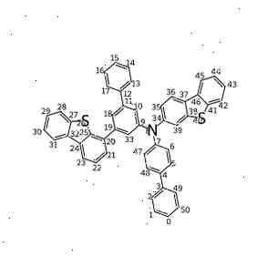 c1ccc(-c2ccc(N(c3cc(-c4ccccc4)cc(-c4cccc5c4sc4ccccc45)c3)c3ccc4c(c3)sc3ccccc34)cc2)cc1